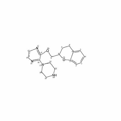 c1ccc2c(c1)CCC(COc1nccnc1N1CCNCC1)O2